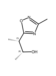 Cc1noc([C@@H](C)[C@@H](C)O)n1